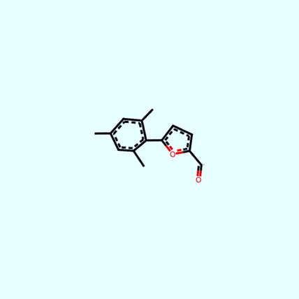 Cc1cc(C)c(-c2ccc([C]=O)o2)c(C)c1